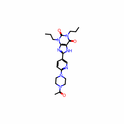 CCCn1c(=O)c2[nH]c(-c3ccc(N4CCN(C(C)=O)CC4)nc3)nc2n(CCC)c1=O